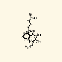 CCC(CCN)N(CC)c1nn(CCCN(CC)CC)c2cccc(O)c12